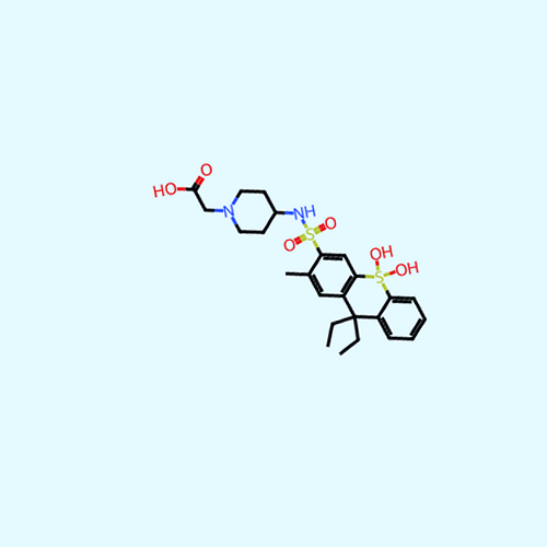 CCC1(CC)c2ccccc2S(O)(O)c2cc(S(=O)(=O)NC3CCN(CC(=O)O)CC3)c(C)cc21